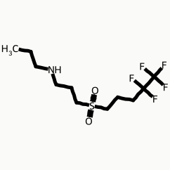 CCCNCCCS(=O)(=O)CCCC(F)(F)C(F)(F)F